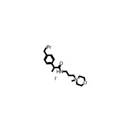 CC(C)Cc1ccc(C(C)C(=O)NCCC[N+]2(C)CCOCC2)cc1.[I-]